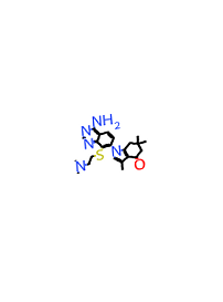 Cc1cn(-c2ccc3c(N)ncnc3c2SCCN(C)C)c2c1C(=O)CC(C)(C)C2